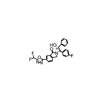 O=C1c2cc(-c3nnc(C(F)F)o3)ccc2CN1[C@@H](c1ccc(F)cc1)[C@H](O)c1ccccc1